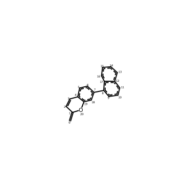 C=C1C=Cc2ccc(-c3cccc4ccccc34)cc2O1